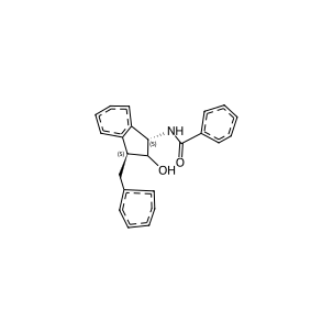 O=C(N[C@H]1c2ccccc2[C@H](Cc2ccccc2)C1O)c1ccccc1